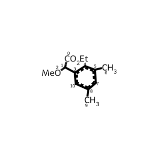 CCOC(=O)C(OC)c1cc(C)cc(C)c1